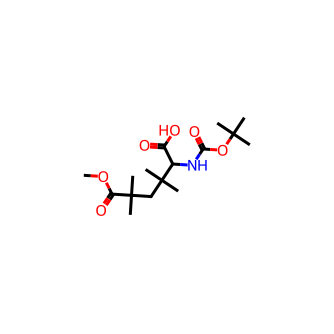 COC(=O)C(C)(C)CC(C)(C)C(NC(=O)OC(C)(C)C)C(=O)O